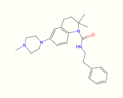 CN1CCN(c2ccc3c(c2)CCC(C)(C)N3C(=O)NCCc2ccccc2)CC1